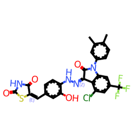 Cc1ccc(N2C(=O)/C(=N\Nc3ccc(/C=C4/SC(=O)NC4=O)cc3O)c3c(Cl)cc(C(F)(F)F)cc32)cc1C